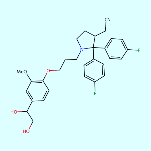 COc1cc(C(O)CO)ccc1OCCCN1CCC(CC#N)C1(c1ccc(F)cc1)c1ccc(F)cc1